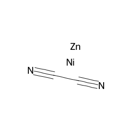 N#CC#N.[Ni].[Zn]